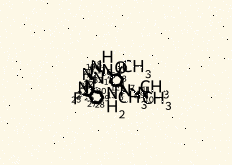 COc1cc(N(C)CCN(C)C)c(N)cc1Nc1ncnc(-n2nc(F)c3ccccc32)n1